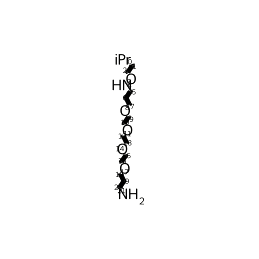 CC(C)CCONCCCOCCOCCOCCOCCCN